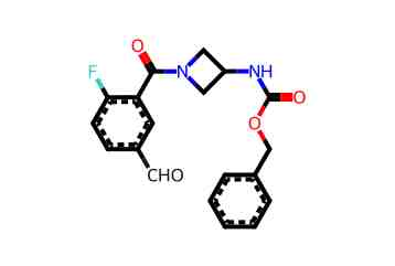 O=Cc1ccc(F)c(C(=O)N2CC(NC(=O)OCc3ccccc3)C2)c1